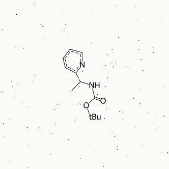 CC(NC(=O)OC(C)(C)C)c1ccccn1